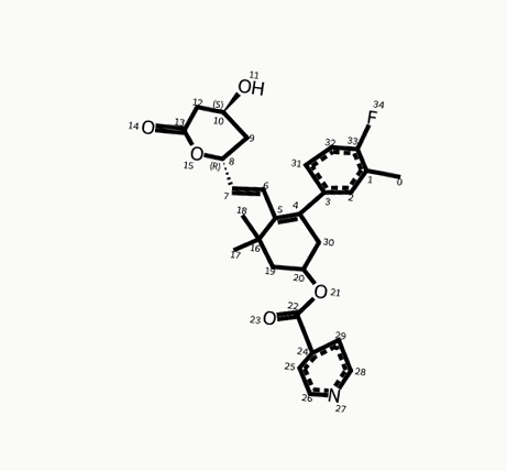 Cc1cc(C2=C(C=C[C@H]3C[C@H](O)CC(=O)O3)C(C)(C)CC(OC(=O)c3ccncc3)C2)ccc1F